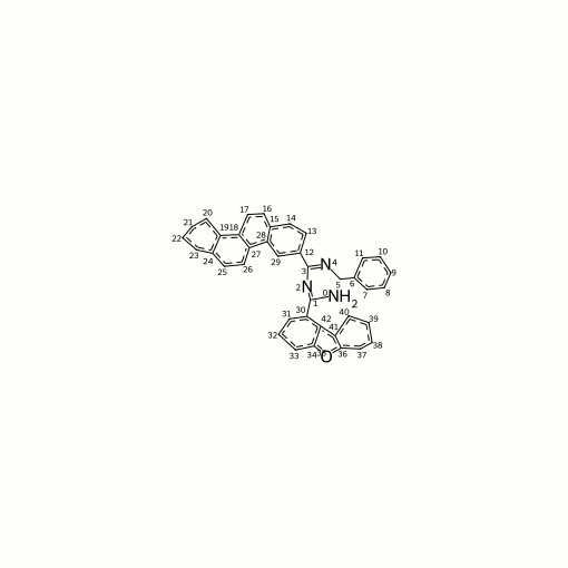 N/C(=N\C(=N/Cc1ccccc1)c1ccc2ccc3c4ccccc4ccc3c2c1)c1cccc2oc3ccccc3c12